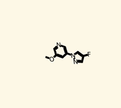 COc1cncc(-n2cc(F)cn2)c1